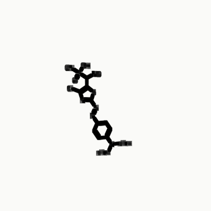 CCCCCCN(CCCCCC)c1ccc(/N=N/c2nc(Cl)c(C(N=O)P(=O)(O)N=O)s2)cc1